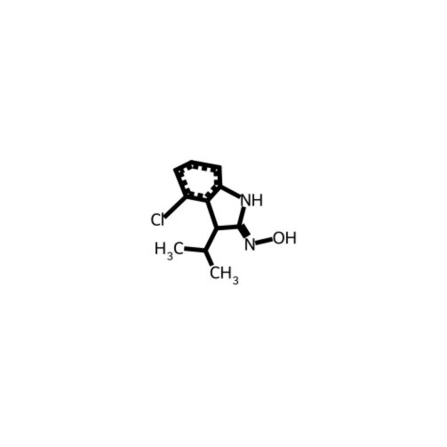 CC(C)C1C(=NO)Nc2cccc(Cl)c21